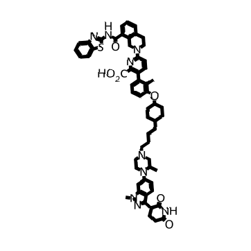 Cc1c(OC2CCC(CCCCN3CCN(c4ccc5c(C6CCC(=O)NC6=O)nn(C)c5c4)C(C)C3)CC2)cccc1-c1ccc(N2CCc3cccc(C(=O)Nc4nc5ccccc5s4)c3C2)nc1C(=O)O